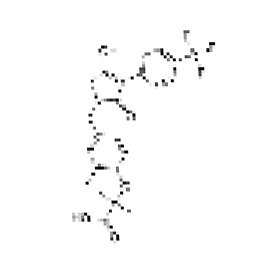 Cc1cc(CN2CC(O)=C(c3ccc(C(F)(F)F)cc3)C2=O)cc(C)c1OC(C)(C)C(=O)O